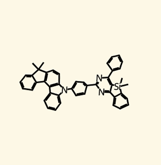 CC1(C)c2ccccc2-c2c1ccc1c2c2ccccc2n1-c1ccc(-c2nc(-c3ccccc3)c3c(n2)-c2ccccc2[Si]3(C)C)cc1